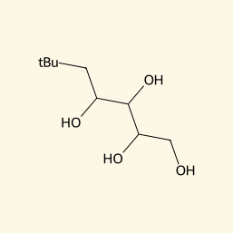 CC(C)(C)CC(O)C(O)C(O)CO